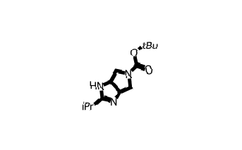 CC(C)C1=NC2CN(C(=O)OC(C)(C)C)CC2N1